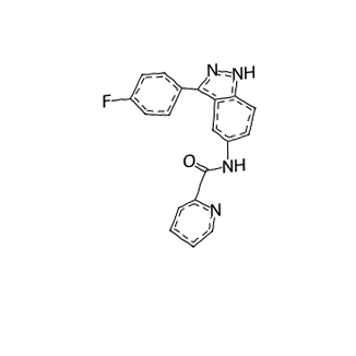 O=C(Nc1ccc2[nH]nc(-c3ccc(F)cc3)c2c1)c1ccccn1